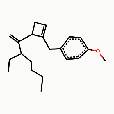 C=C(C(CC)CCCC)C1CC=C1Cc1ccc(OC)cc1